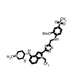 COc1cc(S(C)(=O)=O)ccc1NCc1nnc(-c2cc3c(N[C@H]4CCN(C)C[C@H]4F)cccc3n2CC(F)(F)F)s1